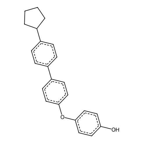 Oc1ccc(Oc2ccc(-c3ccc(C4CCCC4)cc3)cc2)cc1